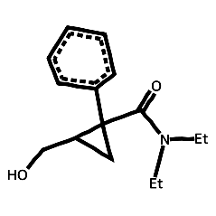 CCN(CC)C(=O)C1(c2ccccc2)CC1CO